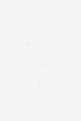 CC(C)/C(N)=C/NCC(=O)O